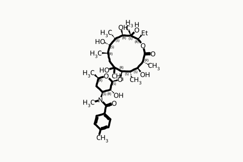 CC[C@H]1OC(=O)[C@H](C)[C@@H](O)[C@H](C)[C@@H](O[C@@H]2O[C@H](C)C[C@H](N(C)C(=O)c3ccc(C)cc3)[C@H]2O)C(C)(O)C[C@@H](C)[C@H](O)[C@H](C)[C@@H](O)[C@]1(C)O